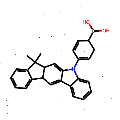 CC1(C)c2ccccc2C2C=c3c(n(C4=CCC(B(O)O)C=C4)c4ccccc34)=CC21